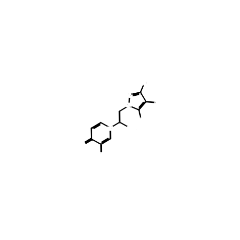 CC(C)(C)C(Cn1nc(Br)c(Cl)c1Br)n1ccc(=O)c(C(=O)O)c1